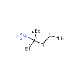 [Li][CH2]CC(N)(CC)CC